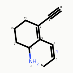 C#CC1=C(/C=C\C)C(N)CCC1